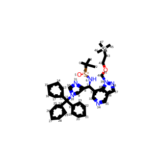 CC(C)(C)[S@@+]([O-])N[C@H](c1cn(C(c2ccccc2)(c2ccccc2)c2ccccc2)cn1)c1cncc2cnn(COCC[Si](C)(C)C)c12